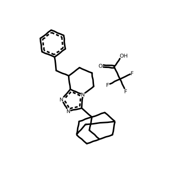 O=C(O)C(F)(F)F.c1ccc(CC2CCCn3c2nnc3C23CC4CC(CC(C4)C2)C3)cc1